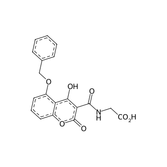 O=C(O)CNC(=O)c1c(O)c2c(OCc3ccccc3)cccc2oc1=O